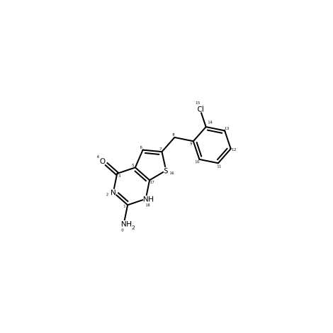 Nc1nc(=O)c2cc(Cc3ccccc3Cl)sc2[nH]1